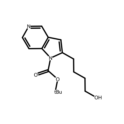 CC(C)(C)OC(=O)n1c(CCCCO)cc2cnccc21